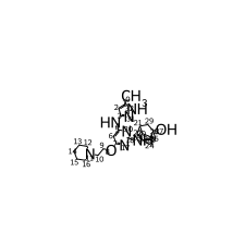 Cc1cc(Nc2cc(OCCN3CCCCC3)nc(NC3C4CC5CC3C(O)(C5)C4)n2)n[nH]1